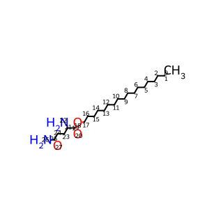 CCCCCCCCCCCCCCCCCCOC(=O)C(N)CCC(N)=O